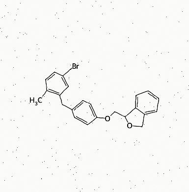 Cc1ccc(Br)cc1Cc1ccc(OCC2OCc3ccccc32)cc1